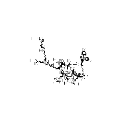 CN(C)c1ccc2c(c1)Oc1cc(N(C)C)ccc1C21OC(=O)c2cc(C(=O)NCCCC[C@@H](NC(=O)[C@@H](CCCNC(=N)N)NC(=O)[C@@H](CCCNC(=N)N)NC(=O)[C@@H](CCCNC(=N)N)NC(=O)[C@@H](CCCNC(=N)N)NC(=O)[C@@H](CCCNC(=N)N)NC(=O)[C@@H](CCCNC(=N)N)NC(=O)CCCCCNC(=O)[C@@H](CCCNC(=N)N)NC(=O)CCCCCNC(=O)c3ccc(-c4ccnc(N)n4)s3)C(N)=O)ccc21